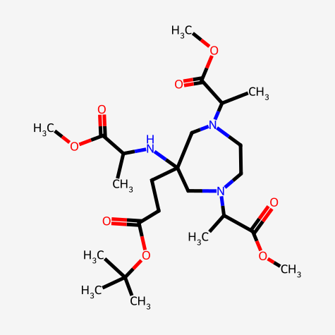 COC(=O)C(C)NC1(CCC(=O)OC(C)(C)C)CN(C(C)C(=O)OC)CCN(C(C)C(=O)OC)C1